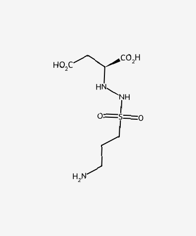 NCCCS(=O)(=O)NN[C@@H](CC(=O)O)C(=O)O